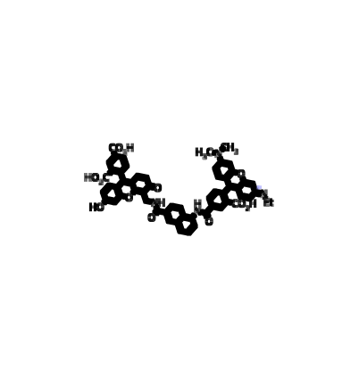 CC/N=c1\ccc2c(-c3ccc(C(=O)Nc4cccc5cc(C(=O)NCc6c7oc8cc(O)ccc8c(-c8ccc(C(=O)O)cc8C(=O)O)c-7ccc6=O)ccc45)cc3C(=O)O)c3ccc(N(C)C)cc3oc-2c1